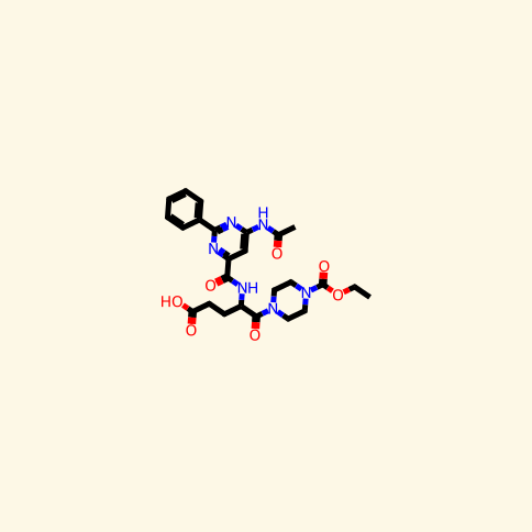 CCOC(=O)N1CCN(C(=O)C(CCC(=O)O)NC(=O)c2cc(NC(C)=O)nc(-c3ccccc3)n2)CC1